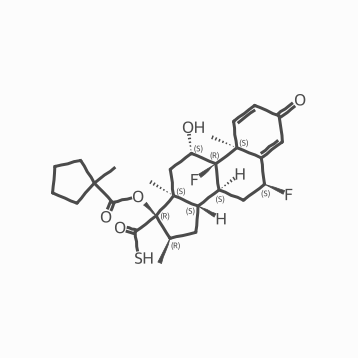 C[C@@H]1C[C@H]2[C@@H]3C[C@H](F)C4=CC(=O)C=C[C@]4(C)[C@@]3(F)[C@@H](O)C[C@]2(C)[C@@]1(OC(=O)C1(C)CCCC1)C(=O)S